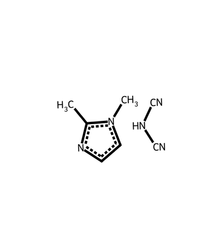 Cc1nccn1C.N#CNC#N